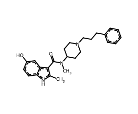 Cc1[nH]c2ccc(O)cc2c1C(=O)N(C)C1CCN(CCCc2ccccc2)CC1